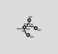 COc1cc(O)c([C@@H](/C=C/c2ccc(O)cc2)C[C@@H](O)CCc2ccc(O)cc2)c(O)c1C(=O)/C=C/c1ccc(O)cc1